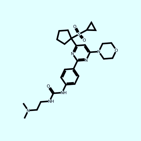 CN(C)CCNC(=O)Nc1ccc(-c2nc(N3CCOCC3)cc(C3(S(=O)(=O)C4CC4)CCCC3)n2)cc1